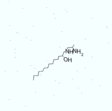 CCCCCCCCCCCCC(O)CNCC(C)N